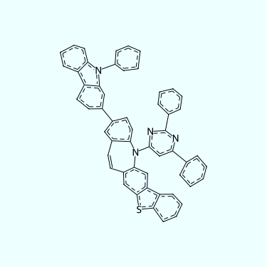 C1=Cc2cc3sc4ccccc4c3cc2N(c2cc(-c3ccccc3)nc(-c3ccccc3)n2)c2ccc(-c3ccc4c5ccccc5n(-c5ccccc5)c4c3)cc21